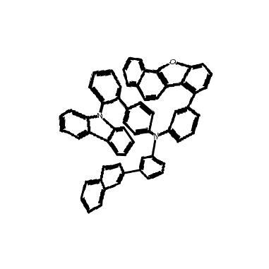 c1cc(-c2ccc3ccccc3c2)cc(N(c2ccc(-c3ccccc3-n3c4ccccc4c4ccccc43)cc2)c2cccc(-c3cccc4oc5c6ccccc6ccc5c34)c2)c1